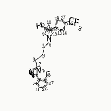 Cn1c(CCCCN2C[C@@H]3C[C@]3(c3ccc(C(F)(F)F)cc3)C2)nnc1-c1ccccc1F